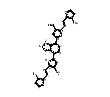 CCCCc1ccsc1/C=C/c1sc(-c2ccc(-c3cc(CCCC)c(/C=C/c4sccc4CCCC)s3)c3nsnc23)cc1CCCC